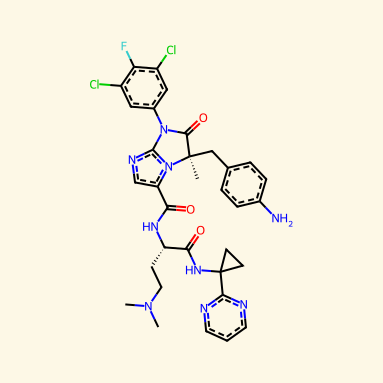 CN(C)CC[C@H](NC(=O)c1cnc2n1[C@](C)(Cc1ccc(N)cc1)C(=O)N2c1cc(Cl)c(F)c(Cl)c1)C(=O)NC1(c2ncccn2)CC1